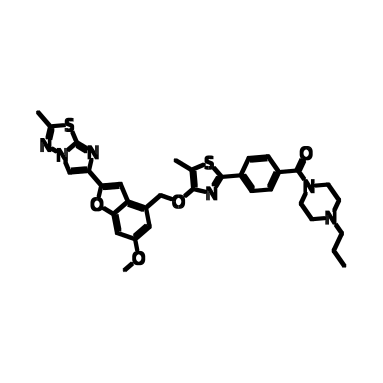 CCCN1CCN(C(=O)c2ccc(-c3nc(OCc4cc(OC)cc5oc(-c6cn7nc(C)sc7n6)cc45)c(C)s3)cc2)CC1